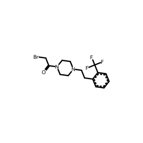 O=C(CBr)N1CCN(CCc2ccccc2C(F)(F)F)CC1